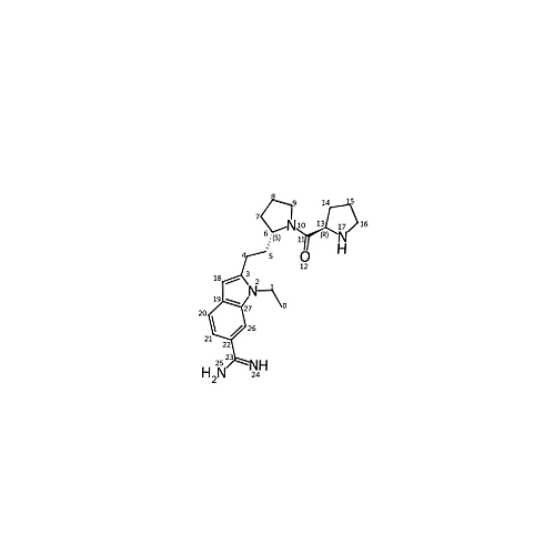 CCn1c(CC[C@@H]2CCCN2C(=O)[C@H]2CCCN2)cc2ccc(C(=N)N)cc21